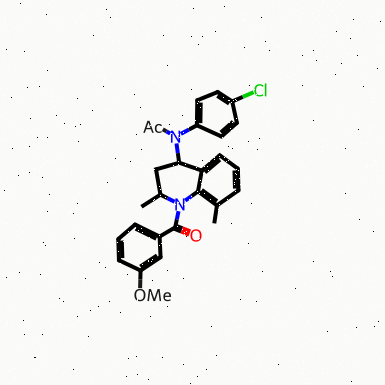 COc1cccc(C(=O)N2c3c(C)cccc3C(N(C(C)=O)c3ccc(Cl)cc3)CC2C)c1